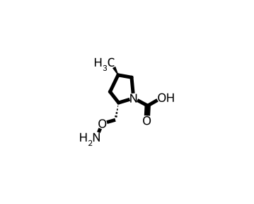 C[C@@H]1C[C@@H](CON)N(C(=O)O)C1